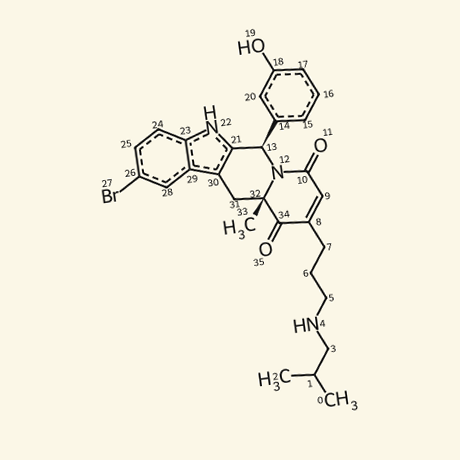 CC(C)CNCCCC1=CC(=O)N2[C@H](c3cccc(O)c3)c3[nH]c4ccc(Br)cc4c3C[C@@]2(C)C1=O